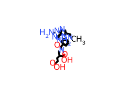 CN(Cc1cnc2nc(N)nc(N)c2n1)c1ccc(C(=O)/N=C/C(CCC(=O)O)C(=O)O)cc1